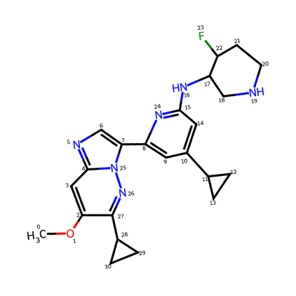 COc1cc2ncc(-c3cc(C4CC4)cc(NC4CNCCC4F)n3)n2nc1C1CC1